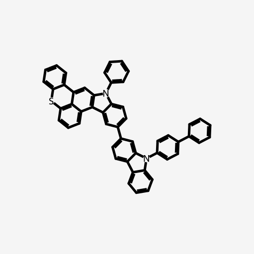 c1ccc(-c2ccc(-n3c4ccccc4c4ccc(-c5ccc6c(c5)c5c7cccc8c7c(cc5n6-c5ccccc5)-c5ccccc5S8)cc43)cc2)cc1